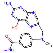 CN(Cc1cnc2nc(N)nc(O)c2n1)c1ccc(C(=O)NI)cc1